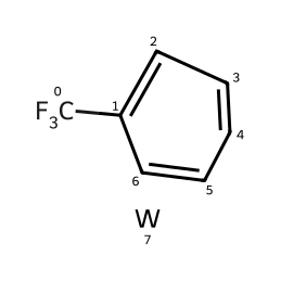 FC(F)(F)c1ccccc1.[W]